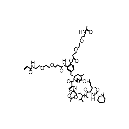 C=CC(=O)NCCOCCOCCC(=O)Nc1cc(C[C@@H](CC(C)C(=O)O)NC(=O)c2csc([C@@H](C[C@H](C(C)C)N(C)C(=O)[C@@H](NC(=O)[C@H]3CCCCN3C)[C@@H](C)CC)OC(C)=O)n2)ccc1OC(=O)CCOCCOCCNC(C)=O